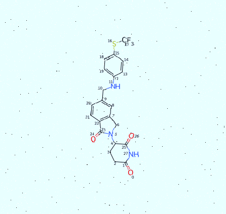 O=C1CCC(N2Cc3cc(CNc4ccc(SC(F)(F)F)cc4)ccc3C2=O)C(=O)N1